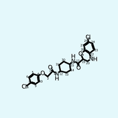 O=C(COc1ccc(Cl)cc1)NC1CCC(NC(=O)C2CNc3ccc(Cl)cc3O2)CC1